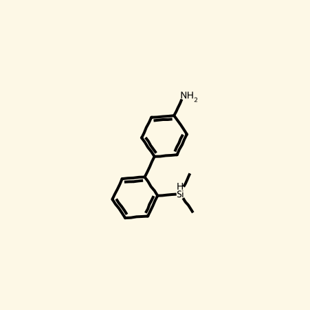 C[SiH](C)c1ccccc1-c1ccc(N)cc1